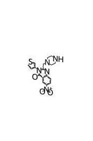 O=c1c2cc([N+](=O)[O-])ccc2nc(CN2CCNCC2)n1-c1ccsc1